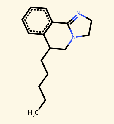 CCCCCC1CN2CCN=C2c2ccccc21